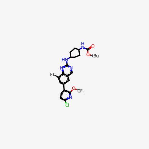 CCc1cc(-c2ccc(Cl)nc2OC(F)(F)F)cc2cnc(NC3CCC(NC(=O)OC(C)(C)C)CC3)nc12